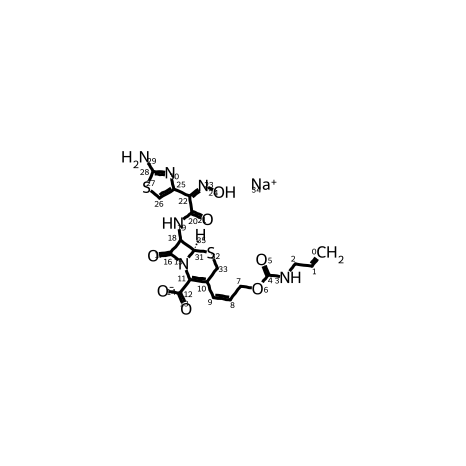 C=CCNC(=O)OC/C=C\C1=C(C(=O)[O-])N2C(=O)C(NC(=O)/C(=N\O)c3csc(N)n3)[C@H]2SC1.[Na+]